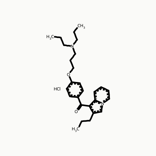 CCCc1cn2ccccc2c1C(=O)c1ccc(OCCCN(CCC)CCC)cc1.Cl